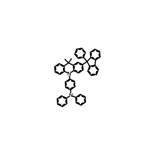 CC1(C)c2ccccc2N(c2ccc(N(c3ccccc3)c3ccccc3)cc2)c2ccc(C3(c4ccccc4)c4ccccc4-c4ccccc43)cc21